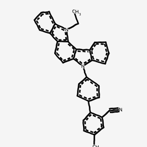 CCn1c2ccccc2c2ccc3c(c4ccccc4n3-c3ccc(-c4ccc(C)cc4C#N)cc3)c21